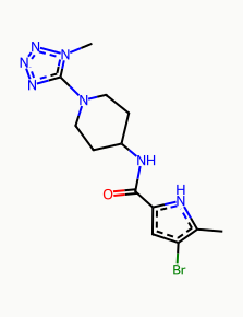 Cc1[nH]c(C(=O)NC2CCN(c3nnnn3C)CC2)cc1Br